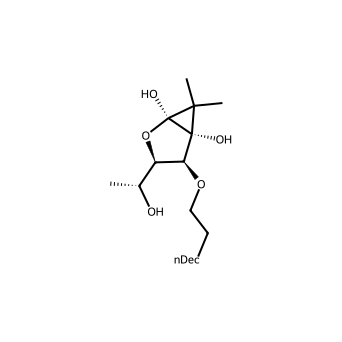 CCCCCCCCCCCCO[C@H]1[C@@H]([C@@H](C)O)O[C@@]2(O)C(C)(C)[C@@]12O